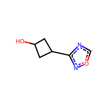 OC1CC(c2n[c]on2)C1